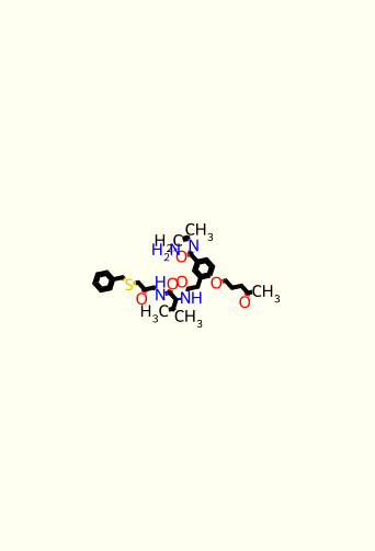 C=C(C)/N=C(\ON)c1ccc(OCCCC(C)=O)c(CC(=O)N[C@H](C(=O)NCC(=O)CSCc2ccccc2)C(C)C)c1